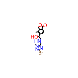 Cc1c(C(O)CNCc2nc(Br)nn2C)ccc2c1COC2=O